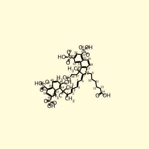 C=C(/C=C/C=C/C=C1/N(CCCCCC(=O)O)c2ccc3c(S(=O)(=O)O)cc(S(=O)(=O)O)cc3c2C1(C)CCOC)C(C)(C)c1c(C)ccc2c(S(=O)(=O)O)cc(S(=O)(=O)O)cc12